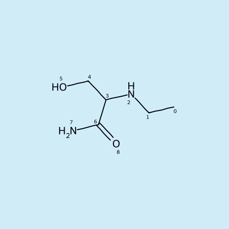 CCNC(CO)C(N)=O